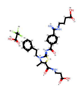 CC1C(C(=O)NCCC(=O)O)SC(=NC(=O)c2ccc(C(=N)NCCCC(=O)O)cc2)N1CCc1ccccc1.O=C(O)C(F)(F)F